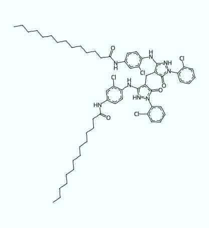 CCCCCCCCCCCCCC(=O)Nc1ccc(Nc2[nH]n(-c3ccccc3Cl)c(=O)c2Cc2c(Nc3ccc(NC(=O)CCCCCCCCCCCCC)cc3Cl)[nH]n(-c3ccccc3Cl)c2=O)c(Cl)c1